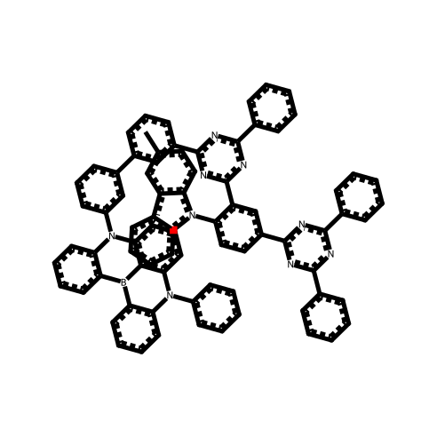 Cc1ccc2c(c1)c1ccccc1n2-c1ccc(-c2nc(-c3ccccc3)nc(-c3ccccc3)n2)cc1-c1nc(-c2ccccc2)nc(-c2cccc(-c3cccc(N4c5ccccc5B5c6ccccc6N(c6ccccc6)c6cccc4c65)c3)c2)n1